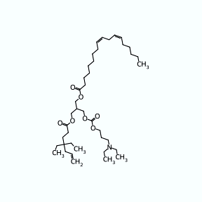 C=CCC(CC)(CC)CCC(=O)OCC(COC(=O)CCCCCCC/C=C\C/C=C\CCCCC)COC(=O)OCCCN(CC)CC